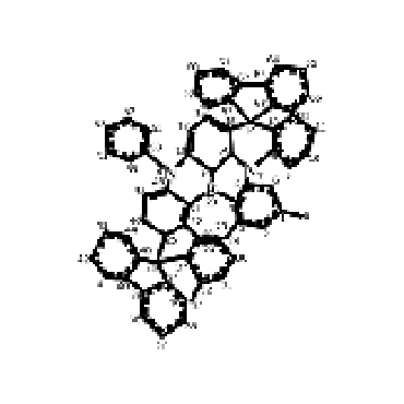 Cc1cc2c3c(c1)N1c4ccccc4C4(C5=CC=C6C(B3C3=C(CC2)C(C2(c7ccccc7C)c7ccccc7-c7ccccc72)CC=C3N6c2ccccc2)C51)c1ccccc1-c1ccccc14